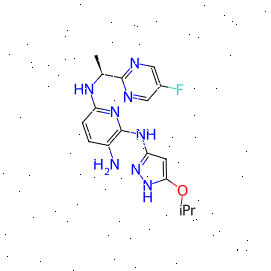 CC(C)Oc1cc(Nc2nc(N[C@@H](C)c3ncc(F)cn3)ccc2N)n[nH]1